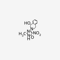 Cc1nc(N2CCc3ccccc3C(O)C2)c([N+](=O)[O-])c(=O)[nH]1